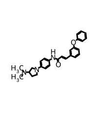 CN(C)C1CCN(c2ccc(NC(=O)/C=C/c3cccc(Oc4ccccc4)c3)cc2)C1